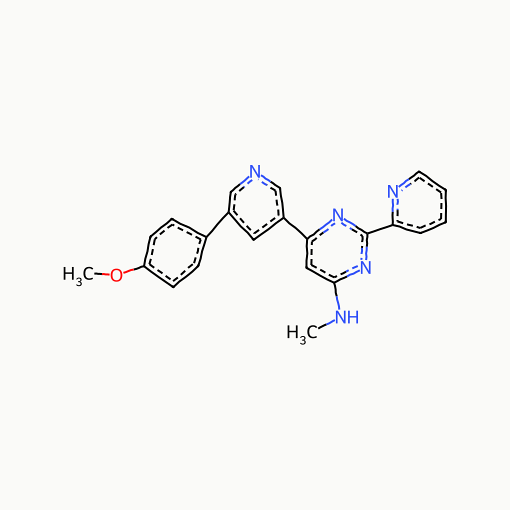 CNc1cc(-c2cncc(-c3ccc(OC)cc3)c2)nc(-c2ccccn2)n1